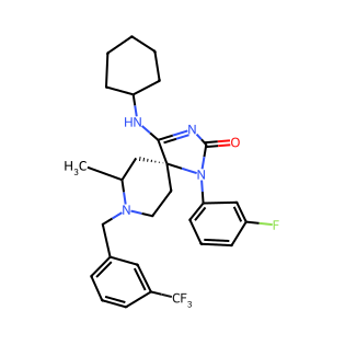 CC1C[C@]2(CCN1Cc1cccc(C(F)(F)F)c1)C(NC1CCCCC1)=NC(=O)N2c1cccc(F)c1